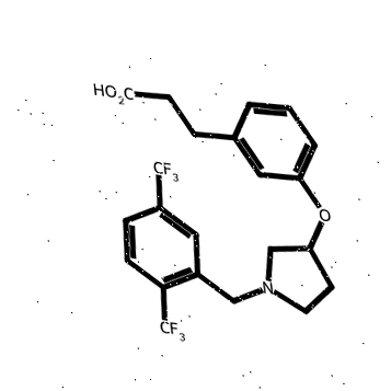 O=C(O)CCc1cccc(OC2CCN(Cc3cc(C(F)(F)F)ccc3C(F)(F)F)C2)c1